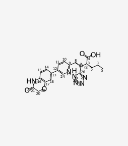 CCC[C@H](C(=O)O)[C@H](Cc1ccc(-c2ccc3c(c2)OCC(=O)N3)cn1)c1nnn[nH]1